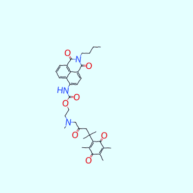 CCCCN1C(=O)c2cccc3c(NC(=O)OCCN(C)CC(=O)CC(C)(C)C4=C(C)C(=O)C(C)=C(C)C4=O)ccc(c23)C1=O